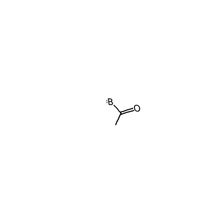 [B]C(C)=O